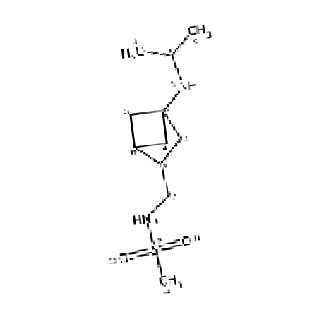 CC(C)NC12CC(CNS(C)(=O)=O)C(C1)C2